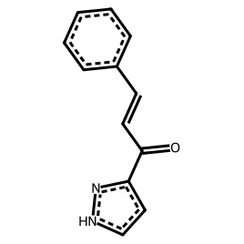 O=C(C=Cc1ccccc1)c1cc[nH]n1